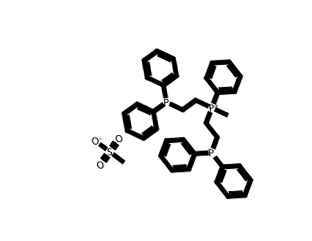 CS(=O)(=O)[O-].C[P+](CCP(c1ccccc1)c1ccccc1)(CCP(c1ccccc1)c1ccccc1)c1ccccc1